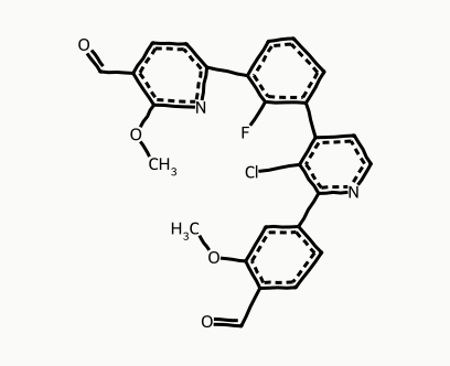 COc1cc(-c2nccc(-c3cccc(-c4ccc(C=O)c(OC)n4)c3F)c2Cl)ccc1C=O